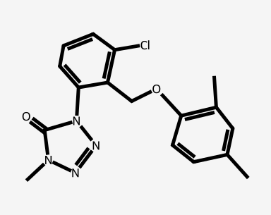 Cc1ccc(OCc2c(Cl)cccc2-n2nnn(C)c2=O)c(C)c1